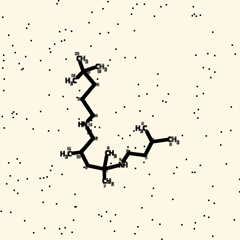 CC(C)CCNC(C)(C)CC(C)CNCCCC(C)(C)C